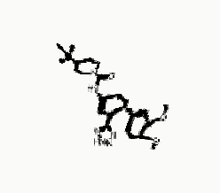 COc1ccc(-c2ccc(NC(=O)N3CCC(C(C)(C)C)CC3)cc2-c2nn[nH]n2)cc1OC